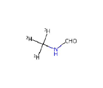 [2H]C([2H])([2H])NC=O